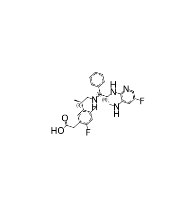 Cc1cc(F)c(CC(=O)O)cc1[C@@H](C)CN[C@H](c1ccccc1)[C@H]1CNc2cc(F)cnc2N1